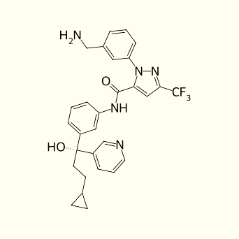 NCc1cccc(-n2nc(C(F)(F)F)cc2C(=O)Nc2cccc([C@](O)(CCC3CC3)c3cccnc3)c2)c1